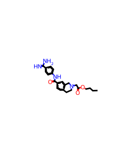 CCCCOC(=O)CN1CCc2ccc(C(=O)Nc3ccc(C(=N)N)cc3)cc2C1